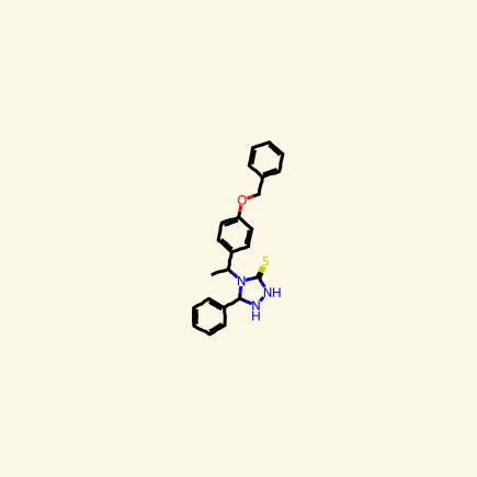 CC(c1ccc(OCc2ccccc2)cc1)N1C(=S)NNC1c1ccccc1